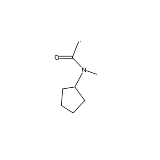 [CH2]C(=O)N(C)C1CCCC1